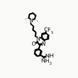 C[C@@H]1CCC[C@H](C)N1CCCCCn1c(=O)c(-c2cccc(C(=N)N)c2)nc2ccc(C(F)(F)F)cc21